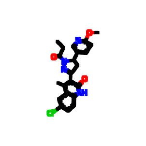 CCC(=O)N1N=C(c2c(C)c3cc(Cl)ccc3[nH]c2=O)CC1c1ccc(OC)nc1